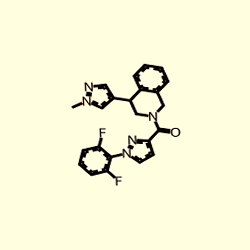 Cn1cc(C2CN(C(=O)c3ccn(-c4c(F)cccc4F)n3)Cc3ccccc32)cn1